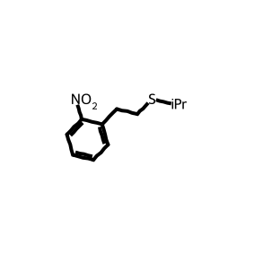 CC(C)SCCc1ccccc1[N+](=O)[O-]